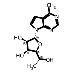 Cc1ncnc2c1ccn2[C@@H]1O[C@@H]([C@@H](C)O)[C@@H](O)[C@H]1O